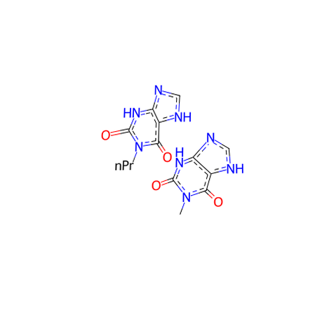 CCCn1c(=O)[nH]c2nc[nH]c2c1=O.Cn1c(=O)[nH]c2nc[nH]c2c1=O